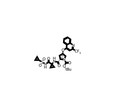 CC(C)(C)OC(=O)N1C[C@H](Oc2cc(C(F)(F)F)nc3ccccc23)C[C@H]1C(=O)NC1(C(=O)NS(=O)(=O)C2CC2)CC1